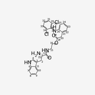 N[C@@H](Cc1c[nH]c2ccccc12)C(=O)NCCOC(=O)Cc1ccccc1Nc1c(Cl)cccc1Cl